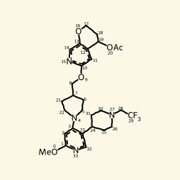 COc1cc(N2CCC(COc3cc4c(cn3)OCCC4OC(C)=O)CC2)c(C2CCN(CC(F)(F)F)CC2)cn1